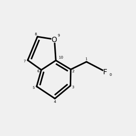 FCc1cccc2ccoc12